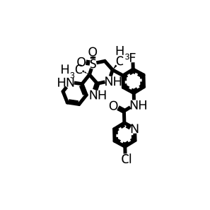 C[C@@]1(C2=CC=CCN2)C(=N)N[C@](C)(c2cc(NC(=O)c3ccc(Cl)cn3)ccc2F)CS1(=O)=O